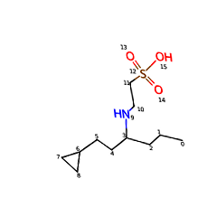 CCCC(CCC1CC1)NCCS(=O)(=O)O